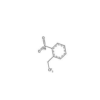 O=[SH](=O)c1ccccc1CC(F)(F)F